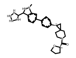 CN1NC(C2NNNN2)c2ccc(-c3ccc([C@H]4CC45CCN(C(=O)[C@H]4CCCO4)CC5)cc3)cc21